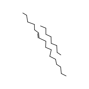 CCCCCC=CCCCCCCCCC.CCCCCCCC